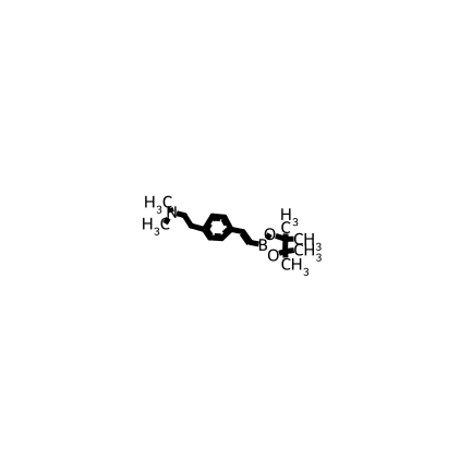 CN(C)CCc1ccc(C=CB2OC(C)(C)C(C)(C)O2)cc1